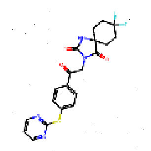 O=C(CN1C(=O)NC2(CCC(F)(F)CC2)C1=O)c1ccc(Sc2ncccn2)cc1